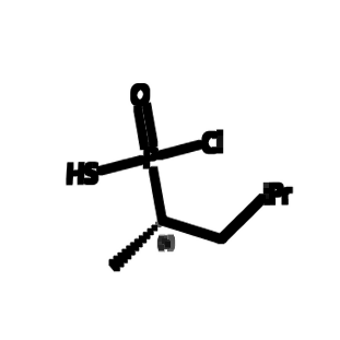 CC(C)C[C@H](C)P(=O)(S)Cl